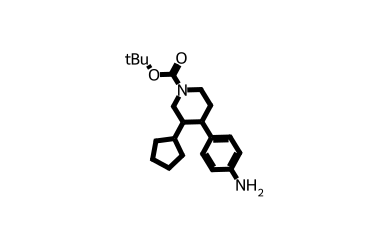 CC(C)(C)OC(=O)N1CCC(c2ccc(N)cc2)C(C2CCCC2)C1